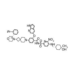 CC(C)c1ccccc1[C@H]1COCCN1C1CC2(CCN(c3ccc(C(=O)NS(=O)(=O)c4ccc(NC[C@H]5CC[C@](C)(O)CC5)c([N+](=O)[O-])n4)c(Oc4cnc5[nH]ccc5c4)c3)CC2)C1